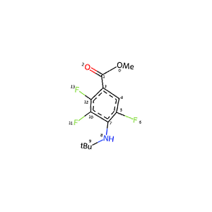 COC(=O)c1cc(F)c(NC(C)(C)C)c(F)c1F